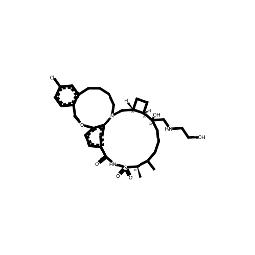 CC1CCC[C@@](O)(CNCCO)[C@@H]2CC[C@H]2CN2CCCCc3cc(Cl)ccc3COc3ccc(cc32)C(=O)NS(=O)(=O)[C@@H]1C